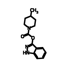 CC1CCN(C(=O)Oc2n[nH]c3ccccc23)CC1